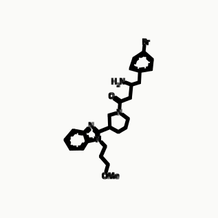 COCCCn1c(C2CCCN(C(=O)CC(N)Cc3ccc(Br)cc3)C2)nc2ccccc21